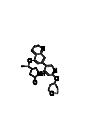 C[C@@H](Oc1cc(-c2ccc(OC3CCOCC3)nc2)cc2ncccc12)[C@H]1CNC(=O)C1